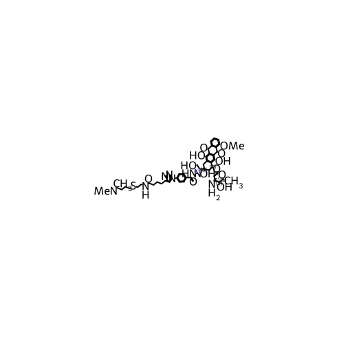 CNC(C)CCCSCCNC(=O)CCCc1cn(-c2ccc(C(=O)N/N=C(\CO)[C@]3(O)Cc4c(O)c5c(c(O)c4[C@@H](O[C@H]4C[C@H](N)[C@H](O)[C@H](C)O4)C3)C(=O)c3c(OC)cccc3C5=O)cc2)nn1